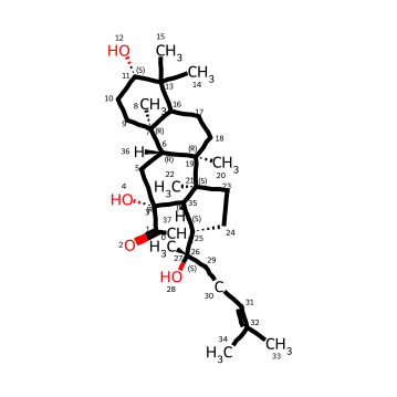 CC(=O)[C@@]1(O)C[C@@H]2[C@@]3(C)CC[C@H](O)C(C)(C)C3CC[C@@]2(C)[C@@]2(C)CC[C@H]([C@@](C)(O)CCC=C(C)C)[C@H]21